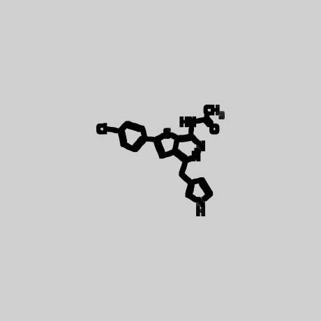 CC(=O)Nc1nnc(Cc2cc[nH]c2)c2cc(-c3ccc(Cl)cc3)sc12